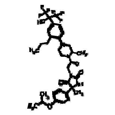 CCCc1cc(C(O)(C(F)(F)F)C(F)(F)F)ccc1N1CCN(C(=O)CN2C(=O)NC(C)(c3ccc(OC(C)C)cn3)C2=O)[C@H](C)C1